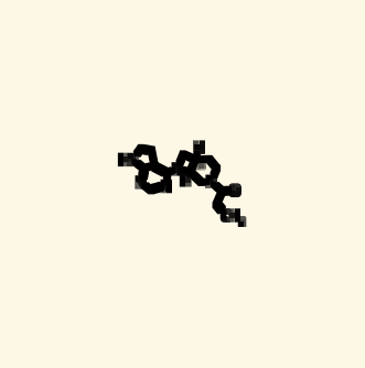 C=CC(=O)N1CC[C@H]2CN(c3ncnc4[nH]ccc34)[C@H]2C1